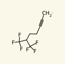 [CH2]C#CCCC(C(F)(F)F)C(F)(F)F